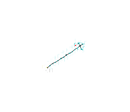 CC(S)C(F)(F)C(F)(F)C(F)(F)C(F)(F)C(F)(F)C(F)(F)C(F)(F)C(F)(F)C(F)(F)C(F)(F)C(F)(F)C(C(F)(F)F)(C(F)(F)F)C(F)(F)F